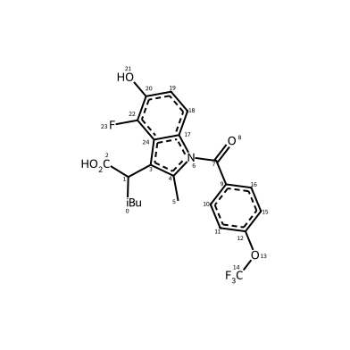 CCC(C)C(C(=O)O)c1c(C)n(C(=O)c2ccc(OC(F)(F)F)cc2)c2ccc(O)c(F)c12